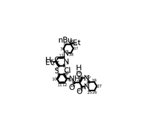 C\C=C(/N=C\C(=C\CC)Sc1cccc(NC(=O)c2c(O)nc3n(c2=O)CCCC3)c1Cl)N1CCC(CC)(CCCC)CC1